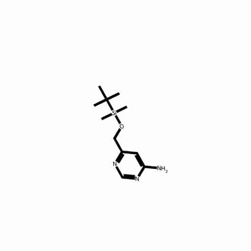 CC(C)(C)[Si](C)(C)OCc1cc(N)ncn1